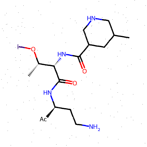 CC(=O)[C@H](CCN)NC(=O)[C@@H](NC(=O)C1CNCC(C)C1)[C@H](C)OI